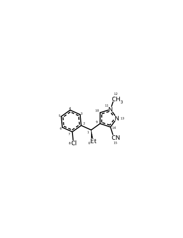 CC[C@@H](c1ccccc1Cl)c1cn(C)nc1C#N